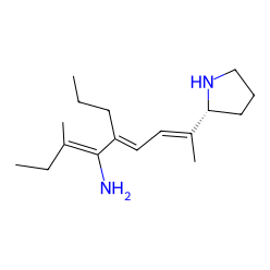 CCCC(=C\C=C(/C)[C@H]1CCCN1)/C(N)=C(\C)CC